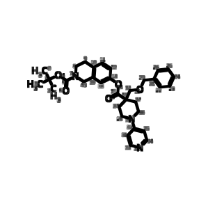 CC(C)(C)OC(=O)N1CCc2ccc(OC(=O)C3(COCc4ccccc4)CCN(c4ccncc4)CC3)cc2C1